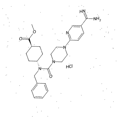 COC(=O)[C@H]1CC[C@H](N(Cc2ccccc2)C(=O)N2CCN(c3ccc(C(=N)N)cn3)CC2)CC1.Cl